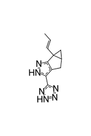 C/C=C/C12CC1Cc1c2n[nH]c1-c1nn[nH]n1